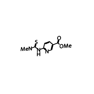 CNC(=S)Nc1ccc(C(=O)OC)cn1